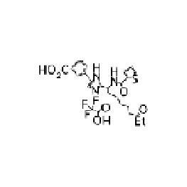 CCC(=O)CCCCC[C@H](NC(=O)c1cccs1)c1ncc(-c2cccc(C(=O)O)c2)[nH]1.O=C(O)C(F)(F)F